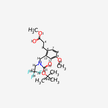 COC(=O)CCc1ccc(OC)cc1CN(CC(F)(F)F)C(=O)OC(C)(C)C